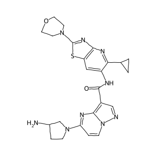 NC1CCN(c2ccn3ncc(C(=O)Nc4cc5sc(N6CCOCC6)nc5nc4C4CC4)c3n2)C1